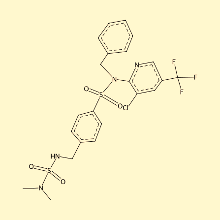 CN(C)S(=O)(=O)NCc1ccc(S(=O)(=O)N(Cc2ccccc2)c2ncc(C(F)(F)F)cc2Cl)cc1